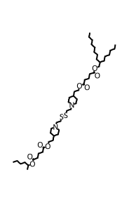 CCCCCCCCC(CCCCCC)COC(=O)CCCC(=O)OCCC1CCN(CCSSCCN2CCC(CCOC(=O)CCCC(=O)OC(C)CCCC)CC2)CC1